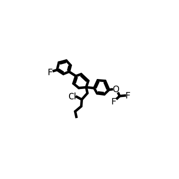 CCCC(Cl)CC1(c2ccc(OC(F)F)cc2)C=CC(c2cccc(F)c2)=CC1